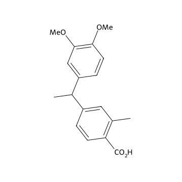 COc1ccc(C(C)c2ccc(C(=O)O)c(C)c2)cc1OC